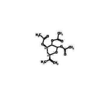 C=C(C)[C@H]1C[C@@H](OC(C)=O)C(OC(C)=O)C(OC(C)=O)O1